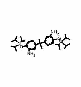 CC(C)[Si](Oc1ccc(C(C)(C)c2ccc(O[Si](C(C)C)(C(C)C)C(C)C)c(N)c2)cc1N)(C(C)C)C(C)C